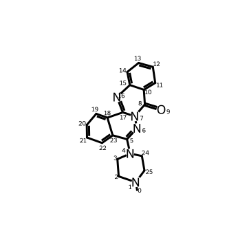 CN1CCN(c2nn3c(=O)c4ccccc4nc3c3ccccc23)CC1